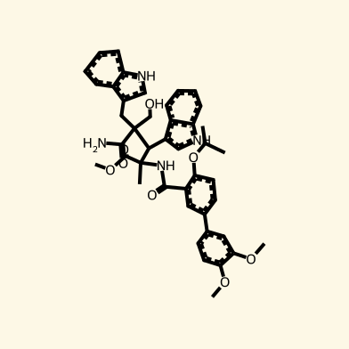 COC(=O)C(C)(NC(=O)c1cc(-c2ccc(OC)c(OC)c2)ccc1OC(C)C)C(c1c[nH]c2ccccc12)C(CO)(Cc1c[nH]c2ccccc12)C(N)=O